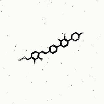 CCOCc1ccc(/C=C/c2ccc(-c3ccc(C4CCC(C)CC4)c(F)c3F)cc2)c(F)c1F